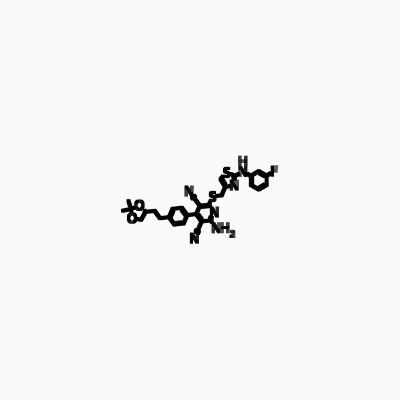 CC1(C)OCC(CCc2ccc(-c3c(C#N)c(N)nc(SCc4csc(Nc5cccc(F)c5)n4)c3C#N)cc2)O1